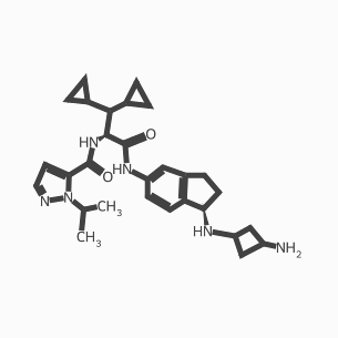 CC(C)n1nccc1C(=O)N[C@H](C(=O)Nc1ccc2c(c1)CC[C@H]2NC1CC(N)C1)C(C1CC1)C1CC1